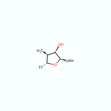 CC[C@H]1O[C@H](OC)[C@H](O)[C@@H]1C